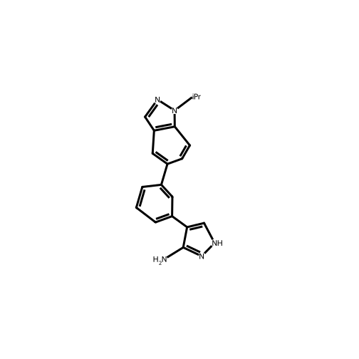 CC(C)n1ncc2cc(-c3cccc(-c4c[nH]nc4N)c3)ccc21